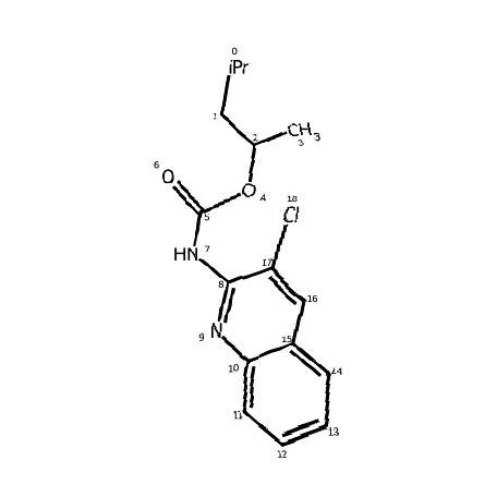 CC(C)CC(C)OC(=O)Nc1nc2ccccc2cc1Cl